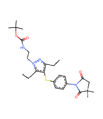 CCc1nn(CCNC(=O)OC(C)(C)C)c(CC)c1Sc1ccc(N2C(=O)CC(C)(C)C2=O)cc1